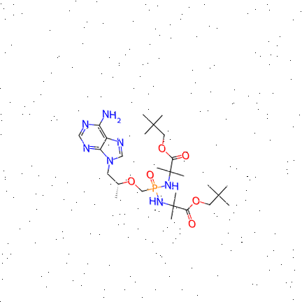 C[C@H](Cn1cnc2c(N)ncnc21)OCP(=O)(NC(C)(C)C(=O)OCC(C)(C)C)NC(C)(C)C(=O)OCC(C)(C)C